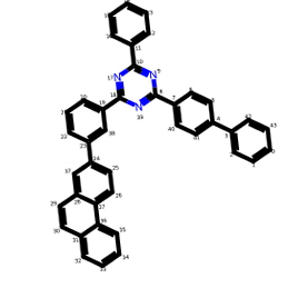 c1ccc(-c2ccc(-c3nc(-c4ccccc4)nc(-c4cccc(-c5ccc6c(ccc7ccccc76)c5)c4)n3)cc2)cc1